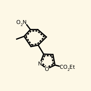 CCOC(=O)c1cc(-c2ccc([N+](=O)[O-])c(C)c2)no1